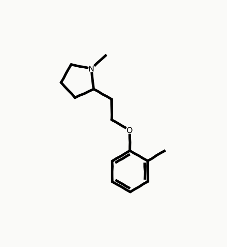 Cc1ccccc1OCCC1CCCN1C